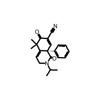 CC(C)N1CC=C2C(C)(C)C(=O)C(C#N)=C[C@@]2(c2ccccc2)C1=O